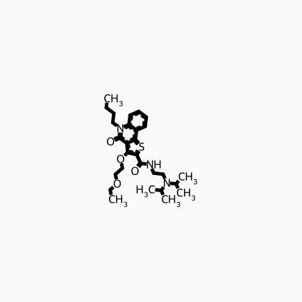 CCCCn1c(=O)c2c(OCCOCC)c(C(=O)NCCN(C(C)C)C(C)C)sc2c2ccccc21